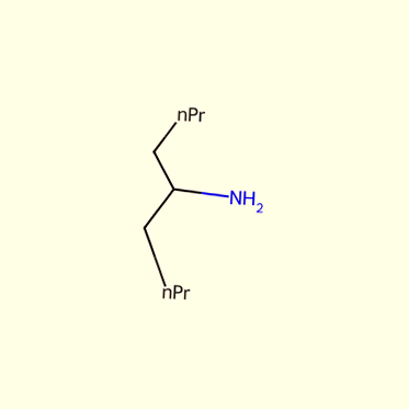 C[CH]CCC(N)CCCC